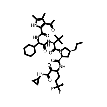 CCC[C@H]1C[C@@H](C(=O)NC(CCC(F)(F)F)C(=O)C(=O)NC2CC2)N(C(=O)[C@@H](NC(=O)C(NC(=O)c2[nH]c(C)c(C)c2C(C)=O)C2CCCCC2)C(C)(C)C)C1